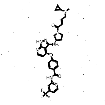 CN(C/C=C/C(=O)N1CC[C@@H](Nc2n[nH]c3nccc(Oc4ccc(C(=O)Nc5cc(C(F)(F)F)ccn5)cc4)c23)C1)C1CC1